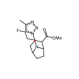 COC(=O)C1C2CCC(CC1n1cc(C)nn1)N2CCCF